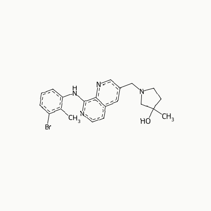 Cc1c(Br)cccc1Nc1nccc2cc(CN3CCC(C)(O)C3)cnc12